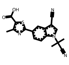 Cc1nc(-c2ccc3c(c2)c(C#N)cn3C(C)(C)C#N)sc1C(=O)O